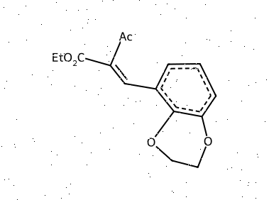 CCOC(=O)C(=Cc1cccc2c1OCCO2)C(C)=O